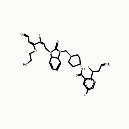 C=CCC(F)c1ncc(Cl)cc1C(=O)N[C@H]1CC[C@H](CN2C(=O)N(C/C=C(F)\C(=N/C=C)OCCO)C3C=CC=CC32)CC1